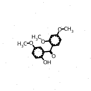 COc1ccc(C(=O)c2cc(OC)ccc2O)c(OC)c1